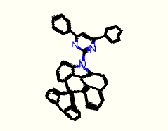 c1ccc(-c2cc(-c3ccccc3)nc(-n3c4cccc5c4c4c6c(cccc6ccc43)C53c4ccccc4-c4ccccc43)n2)cc1